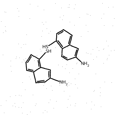 Nc1ccc2c(S)cccc2c1.Nc1ccc2cccc(S)c2c1